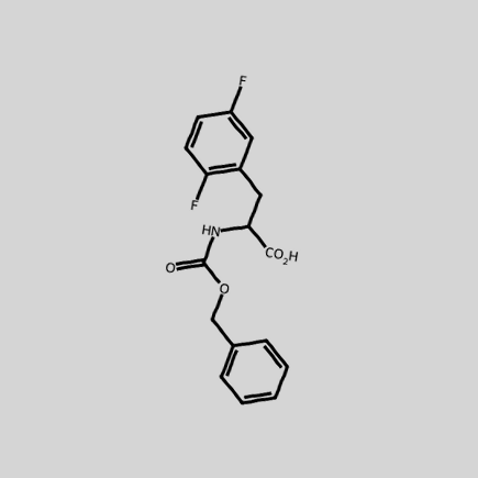 O=C(NC(Cc1cc(F)ccc1F)C(=O)O)OCc1ccccc1